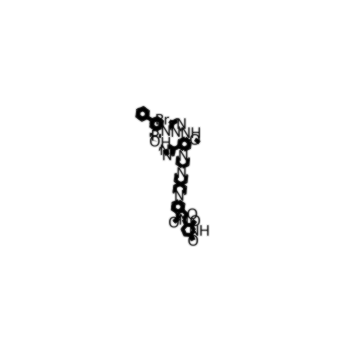 COc1cc(N2CCC(N3CCC4(CCN(c5ccc6c(c5)C(=O)N(C5CCC(=O)NC5=O)C6=O)CC4)CC3)CC2)c(-c2cnn(C)c2)cc1Nc1ncc(Br)c(Nc2ccc(-c3ccccc3)cc2P(C)(C)=O)n1